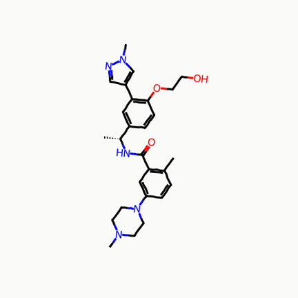 Cc1ccc(N2CCN(C)CC2)cc1C(=O)N[C@H](C)c1ccc(OCCO)c(-c2cnn(C)c2)c1